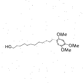 COc1cc(OC)c(OC)cc1CCCCCCCCCCCCO